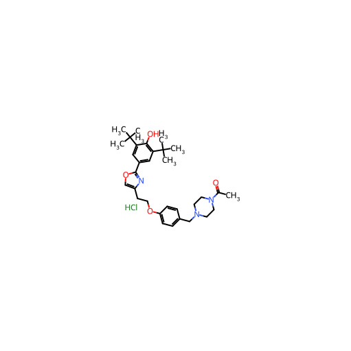 CC(=O)N1CCN(Cc2ccc(OCCc3coc(-c4cc(C(C)(C)C)c(O)c(C(C)(C)C)c4)n3)cc2)CC1.Cl